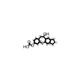 O=C(O)Oc1ccc2c(c1)Sc1cc3c(cc1C(O)C2)CCC3